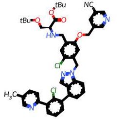 Cc1ccc(-c2cccc(-c3cccc4c3cnn4Cc3cc(OCc4cncc(C#N)c4)c(CN[C@@H](COC(C)(C)C)C(=O)OC(C)(C)C)cc3Cl)c2Cl)nc1